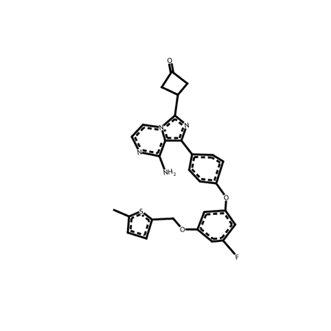 Cc1ccc(COc2cc(F)cc(Oc3ccc(-c4nc(C5CC(=O)C5)n5ccnc(N)c45)cc3)c2)s1